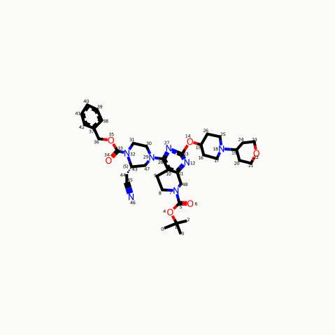 CC(C)(C)OC(=O)N1CCc2c(nc(OC3CCN(C4CCOCC4)CC3)nc2N2CCN(C(=O)OCc3ccccc3)[C@@H](CC#N)C2)C1